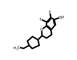 CCC1CCC(C2CCc3cc(O)c(F)c(F)c3O2)CC1